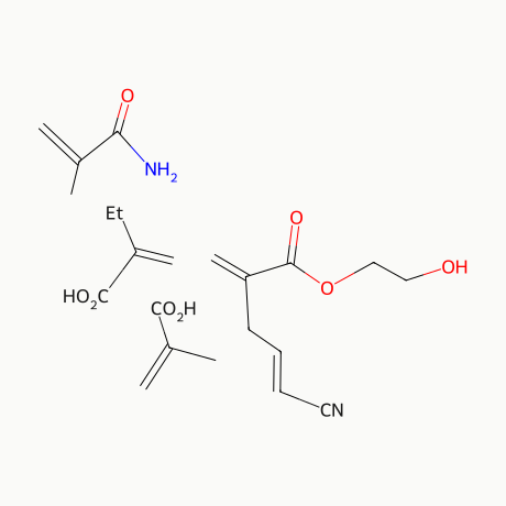 C=C(C)C(=O)O.C=C(C)C(N)=O.C=C(CC)C(=O)O.C=C(CC=CC#N)C(=O)OCCO